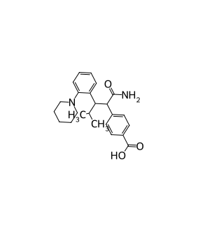 CC(C)C(c1ccccc1N1CCCCC1)C(C(N)=O)c1ccc(C(=O)O)cc1